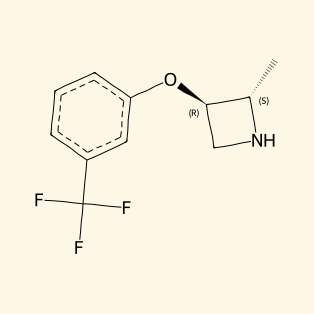 C[C@@H]1NC[C@H]1Oc1cccc(C(F)(F)F)c1